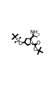 C[C@H](N)[C@@H]1CC(O[Si](C)(C)C(C)(C)C)CN1C(=O)OC(C)(C)C